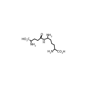 NC(CCCC(N)C(=O)O)NC(=O)CCC(N)C(=O)O